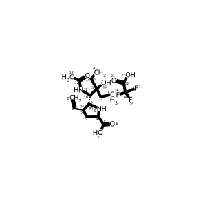 C=C[C@@H]1CC(C(=O)O)N[C@H]1C(NC(C)=O)C(O)(CC)CC.O=C(O)C(F)(F)F